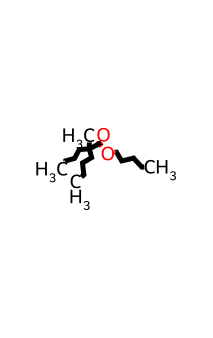 CCCCCOC(=O)C(C)(CCCC)CCCC